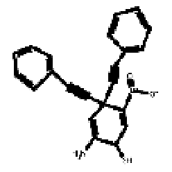 NC1=CC(C#Cc2ccccc2)(C#Cc2ccccc2)C([N+](=O)[O-])=CC1S